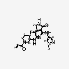 C=CC(=O)N1CCCC(Nc2nc(Nc3cnn(C)c3)c3c(c2F)CNC3=O)C1